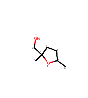 CC1CCC(C)(CO)O1